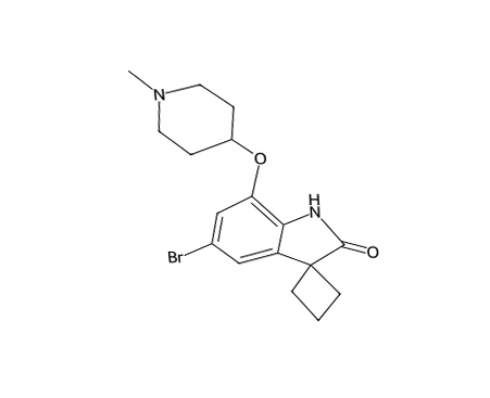 CN1CCC(Oc2cc(Br)cc3c2NC(=O)C32CCC2)CC1